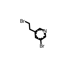 BrCCc1cncc(Br)c1